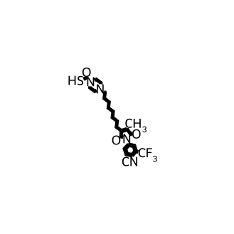 CC1=C(CCCCCCCCN2CCN(C(=O)S)CC2)C(=O)N(c2ccc(C#N)c(C(F)(F)F)c2)C1=O